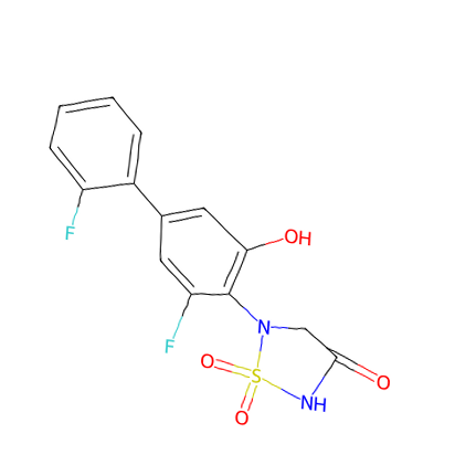 O=C1CN(c2c(O)cc(-c3ccccc3F)cc2F)S(=O)(=O)N1